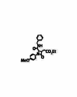 CCOC(=O)CC1C(=O)N(c2ccc(OC)cc2)C1C(=O)NCc1ccccc1